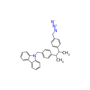 CC(c1ccc(CN=[N+]=[N-])cc1)C(C)c1ccc(Cn2c3ccccc3c3ccccc32)cc1